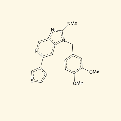 CNc1nc2cnc(-c3ccsc3)cc2n1Cc1ccc(OC)c(OC)c1